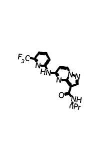 CCCNC(=O)c1cnn2ccc(Nc3cccc(C(F)(F)F)n3)nc12